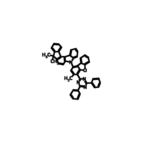 Cc1cc(-n2c3ccccc3c3c4c(ccc32)C(C)(C)c2ccccc2-4)c2c(oc3ccccc32)c1-c1nc(-c2ccccc2)nc(-c2ccccc2)n1